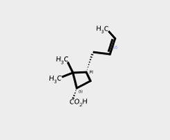 C/C=C\C[C@@H]1C[C@H](C(=O)O)C1(C)C